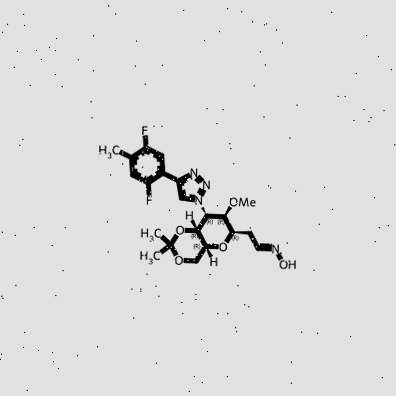 CO[C@@H]1[C@@H](n2cc(-c3cc(F)c(C)cc3F)nn2)[C@H]2OC(C)(C)OC[C@H]2O[C@@H]1CC=NO